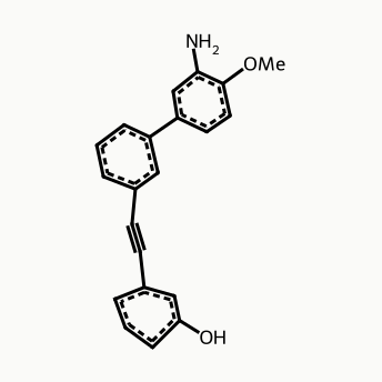 COc1ccc(-c2cccc(C#Cc3cccc(O)c3)c2)cc1N